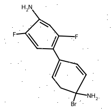 Nc1cc(F)c(C2=CCC(N)(Br)C=C2)cc1F